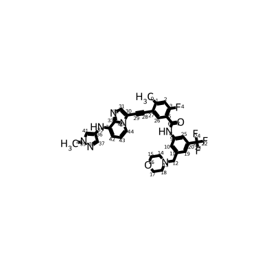 Cc1cc(F)c(C(=O)Nc2cc(CN3CCOCC3)cc(C(F)(F)F)c2)cc1C#Cc1cnc2c(Nc3cnn(C)c3)cccn12